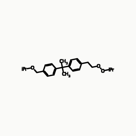 CC(C)OCc1ccc(C(C)(C)c2ccc(CCOOC(C)C)cc2)cc1